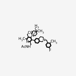 CC(=O)NCc1nc(C)c(CC(=O)O)c(N2CCC(C)(C)CC2)c1-c1ccc2c(c1)CCN(Cc1ccc(F)cc1C)C2